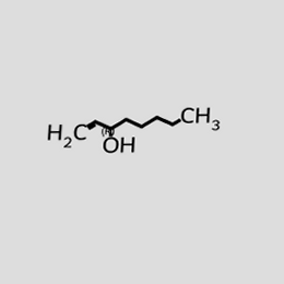 C=C[C@H](O)CCCCC